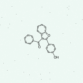 O=C(c1ccccc1)c1c(-c2ccc(O)cc2)oc2ccccc12